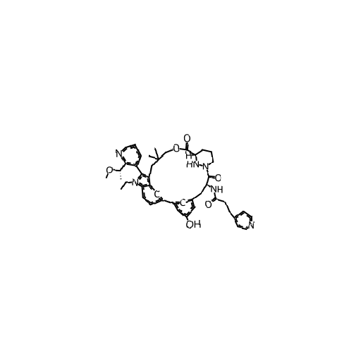 CCn1c(-c2cccnc2[C@H](C)OC)c2c3cc(ccc31)-c1cc(O)cc(c1)C[C@H](NC(=O)CCc1ccncc1)C(=O)N1CCC[C@H](N1)C(=O)OCC(C)(C)C2